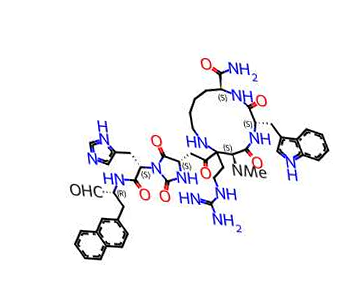 CN[C@@H]1C(=O)N[C@@H](Cc2c[nH]c3ccccc23)C(=O)N[C@H](C(N)=O)CCCCNC1(CCNC(=N)N)C(=O)C[C@@H]1NC(=O)N([C@@H](Cc2cnc[nH]2)C(=O)N[C@@H](C=O)Cc2ccc3ccccc3c2)C1=O